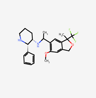 COc1cc2c(cc1C(C)N[C@H]1CCCN[C@H]1c1ccccc1)C(C)(C(F)(F)F)OC2